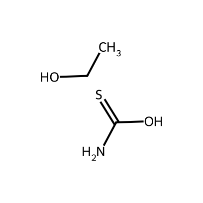 CCO.NC(O)=S